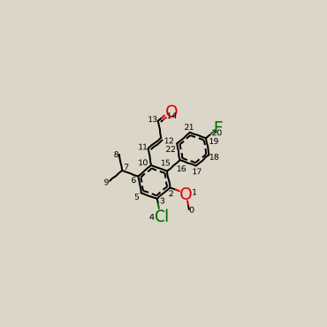 COc1c(Cl)cc(C(C)C)c(C=CC=O)c1-c1ccc(F)cc1